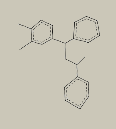 Cc1ccc(C(CC(C)c2ccccc2)c2ccccc2)cc1C